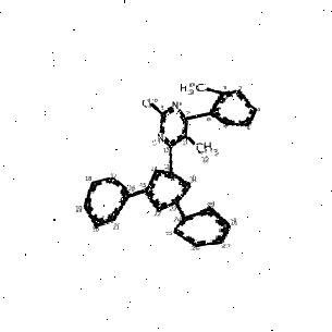 Cc1ccccc1-c1nc(Cl)nc(-c2cc(-c3ccccc3)cc(-c3ccccc3)c2)c1C